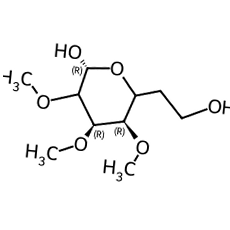 COC1[C@H](O)OC(CCO)[C@@H](OC)[C@H]1OC